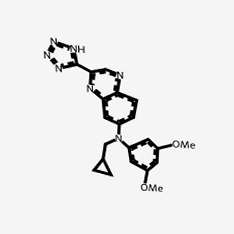 COc1cc(OC)cc(N(CC2CC2)c2ccc3ncc(-c4nnn[nH]4)nc3c2)c1